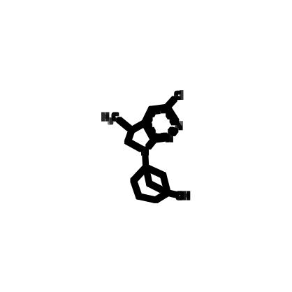 CC1CN(C23CCCC(O)(C2)C3)c2nnc(Cl)cc21